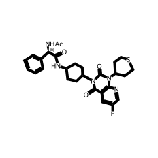 CC(=O)N[C@@H](C(=O)NC1CCC(n2c(=O)c3cc(F)cnc3n(C3CCSCC3)c2=O)CC1)c1ccccc1